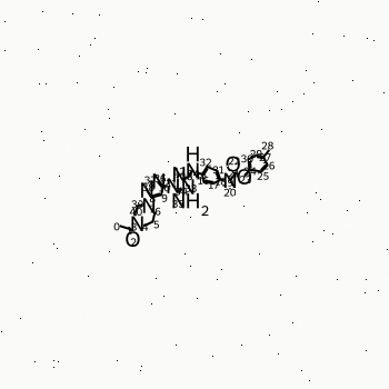 CC(=O)N1CCCN(c2cc(-n3nc(Nc4ccc(N(C)C(=O)Oc5ccc(C)cc5)cc4)nc3N)ncn2)CC1